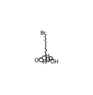 CC1(O)CC[C@H]2[C@@H]3C(CCCCCCCCCCCBr)CC4=CC(=O)CC[C@]4(C)[C@@H]3CC[C@@]21C